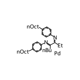 CCCCCCCCc1ccc(N=C(CC)C(CCCC)=Nc2ccc(CCCCCCCC)cc2)cc1.[Pd]